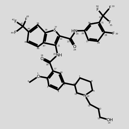 COc1ccc(C2CCCN(CCCO)C2)cc1C(=O)Nc1c(C(=O)Nc2ccc(F)c(C(F)(F)F)c2)sc2cc(C(F)(F)F)ccc12